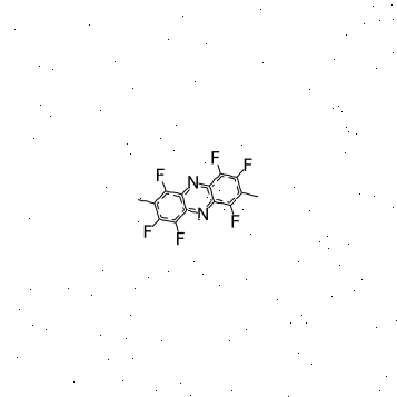 Cc1c(F)c(F)c2nc3c(F)c(C)c(F)c(F)c3nc2c1F